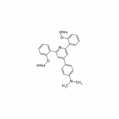 CCCCCCOc1ccccc1-c1cc(-c2ccc(N(C)C)cc2)cc(-c2ccccc2OCCCCCC)n1